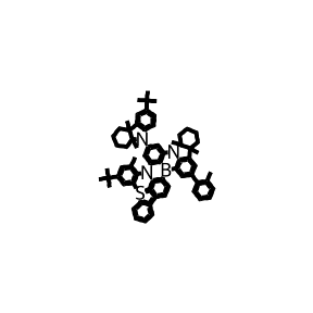 Cc1ccccc1-c1cc2c3c(c1)C1(C)CCCCC1(C)N3c1cc(N3c4ccc(C(C)(C)C)cc4C4(C)CCCCC34C)cc3c1B2c1ccc2c(sc4ccccc42)c1N3c1c(C)cc(C(C)(C)C)cc1C